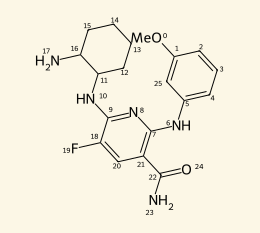 COc1cccc(Nc2nc(NC3CCCCC3N)c(F)cc2C(N)=O)c1